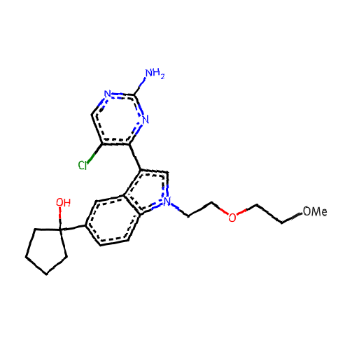 COCCOCCn1cc(-c2nc(N)ncc2Cl)c2cc(C3(O)CCCC3)ccc21